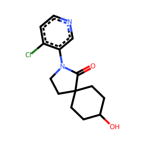 O=C1N(c2cnccc2Cl)CCC12CCC(O)CC2